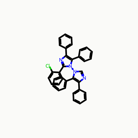 Clc1ccccc1-c1nc(-c2ccccc2)c(-c2ccccc2)n1-n1cnc(-c2ccccc2)c1-c1ccccc1